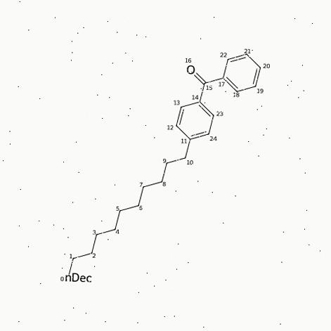 CCCCCCCCCCCCCCCCCCCCc1ccc(C(=O)c2ccccc2)cc1